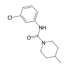 CC1CCN(C(=O)Nc2cccc(Cl)c2)CC1